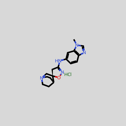 Cl.Cn1cnc2ccc(NC3=NO[C@@]4(C3)CN3CCC4CC3)cc21